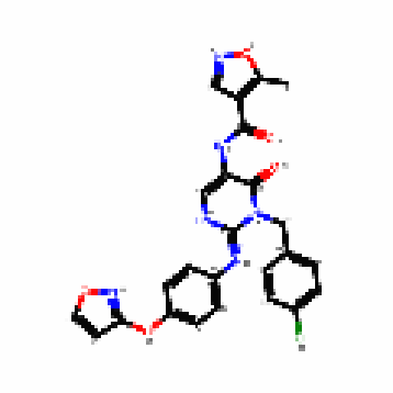 Cc1oncc1C(=O)Nc1c[nH]/c(=N\c2ccc(Oc3ccon3)cc2)n(Cc2ccc(Cl)cc2)c1=O